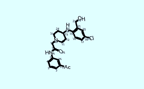 CC(=O)c1cccc(NC(=O)CN2CCC(Nc3ccc(Cl)cc3CO)CC2)c1